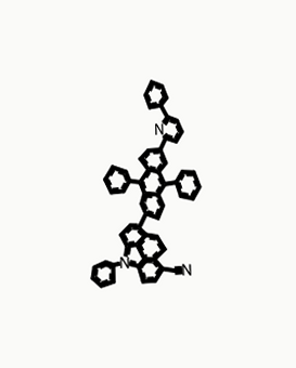 N#Cc1ccc2c3c1ccc1c(-c4ccc5c(-c6ccccc6)c6cc(-c7cccc(-c8ccccc8)n7)ccc6c(-c6ccccc6)c5c4)ccc(c13)n2-c1ccccc1